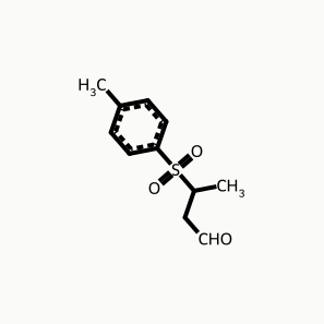 Cc1ccc(S(=O)(=O)C(C)CC=O)cc1